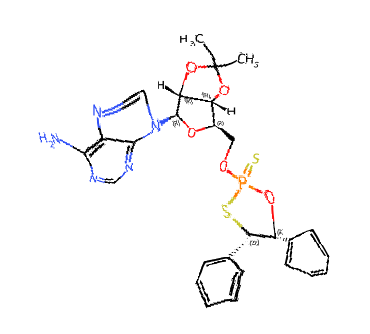 CC1(C)O[C@@H]2[C@H](O1)[C@@H](COP1(=S)O[C@H](c3ccccc3)[C@H](c3ccccc3)S1)O[C@H]2n1cnc2c(N)ncnc21